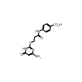 Nc1cc(=O)[nH]c(SCCC(=O)Nc2ccc(C(=O)O)cc2)n1